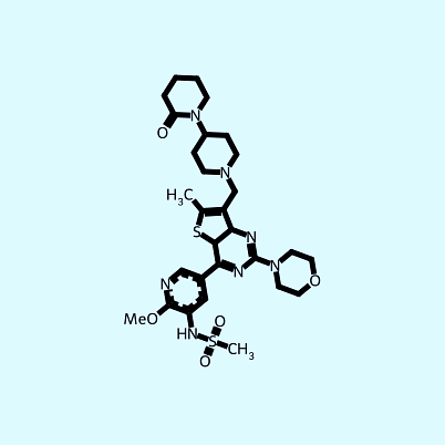 COc1ncc(C2=NC(N3CCOCC3)=NC3C(CN4CCC(N5CCCCC5=O)CC4)=C(C)SC23)cc1NS(C)(=O)=O